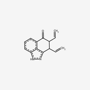 C=CC1C(=O)c2cccc3[nH]nc(c23)C1C=C